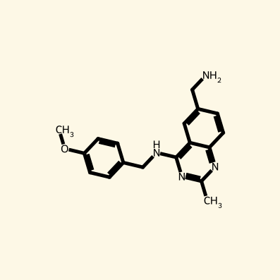 COc1ccc(CNc2nc(C)nc3ccc(CN)cc23)cc1